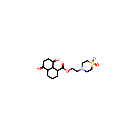 O=C1CCC(=O)C2C1CCCC2C(=O)OCCN1CCS(=O)(=O)CC1